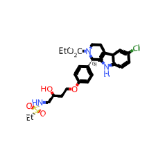 CCOC(=O)N1CCC2=C(NC3C=CC(Cl)=CC23)[C@@H]1c1ccc(OCCC(O)CNS(=O)(=O)CC)cc1